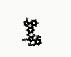 CCCc1cn(-c2c(OC)cccc2C(C)(C)C)c(=O)n1Cc1ccc(-c2cccnc2-c2nnn[nH]2)cc1